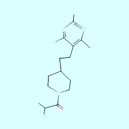 CC(=O)NC(C)C(=O)N1CCC(CCc2c(C)nc(C(F)(F)F)nc2N)CC1